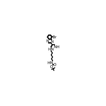 CC(C)(C)OC(=O)NCCCCCCN/C=C(\C=N)c1cnc2cccc(Br)c2n1